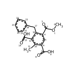 COC(=O)c1cc(C(=O)O)c(C)c(C(=O)O)c1Cc1ccccc1